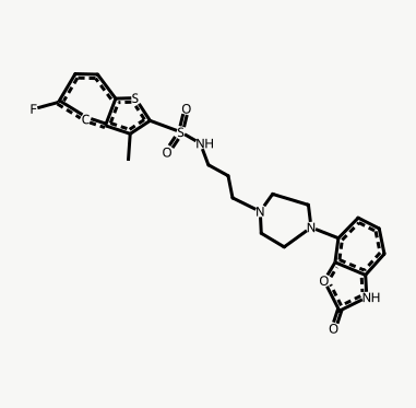 Cc1c(S(=O)(=O)NCCCN2CCN(c3cccc4[nH]c(=O)oc34)CC2)sc2ccc(F)cc12